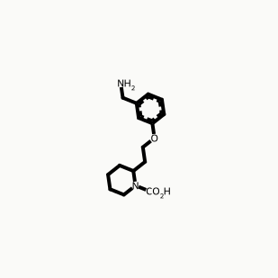 NCc1cccc(OCCC2CCCCN2C(=O)O)c1